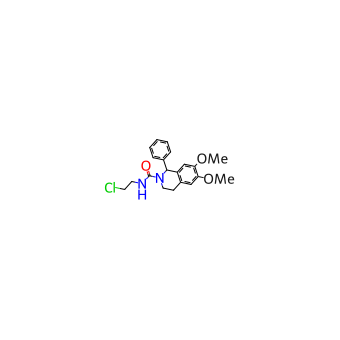 COc1cc2c(cc1OC)C(c1ccccc1)N(C(=O)NCCCl)CC2